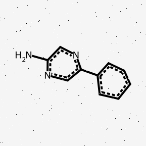 Nc1cnc(-c2ccccc2)cn1